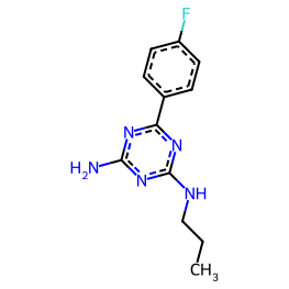 CCCNc1nc(N)nc(-c2ccc(F)cc2)n1